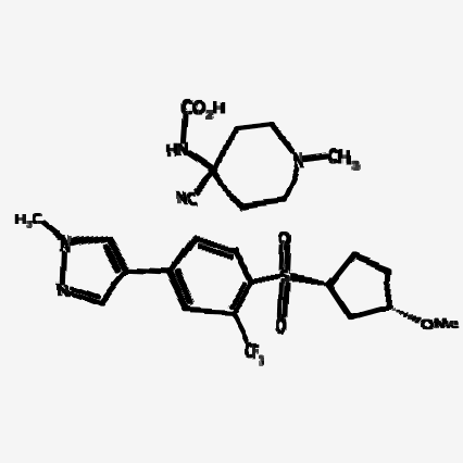 CN1CCC(C#N)(NC(=O)O)CC1.CO[C@H]1CC[C@H](S(=O)(=O)c2ccc(-c3cnn(C)c3)cc2C(F)(F)F)C1